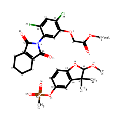 CCCCCOC(=O)COc1cc(N2C(=O)C3=C(CCCC3)C2=O)c(F)cc1Cl.CCOC1Oc2ccc(OS(C)(=O)=O)cc2C1(C)C